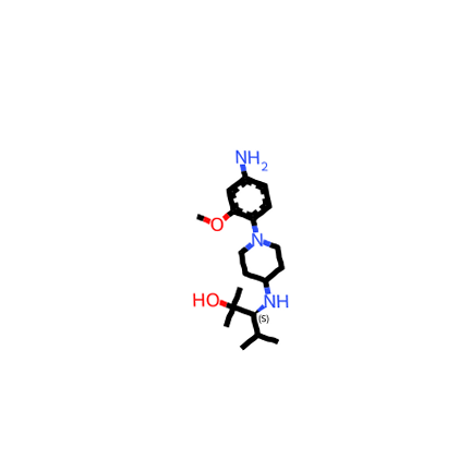 COc1cc(N)ccc1N1CCC(N[C@@H](C(C)C)C(C)(C)O)CC1